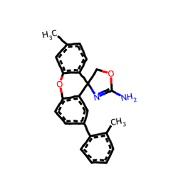 Cc1ccc2c(c1)Oc1ccc(-c3ccccc3C)cc1C21COC(N)=N1